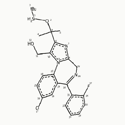 CC(C)(C)[SiH2]OC(C)(C)c1nc2n(c1CO)-c1ccc(Cl)cc1C(c1ccccc1F)=NC2